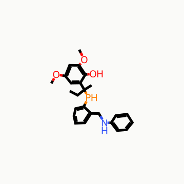 CCC(C)(Pc1ccccc1CNc1ccccc1)c1cc(OC)cc(OC)c1O